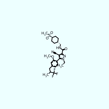 CCn1nc(C(=O)NC[C@H]2CC[C@H](S(C)(=O)=O)CC2)c(C#N)c1-c1ccc(CC(C)C(F)(F)F)cc1OC